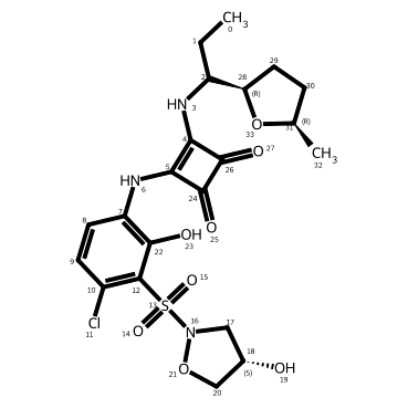 CCC(Nc1c(Nc2ccc(Cl)c(S(=O)(=O)N3C[C@H](O)CO3)c2O)c(=O)c1=O)[C@H]1CC[C@@H](C)O1